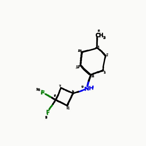 CC1CCC(NC2CC(F)(F)C2)CC1